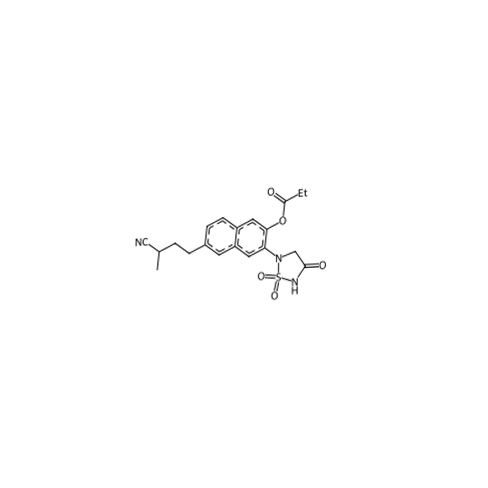 CCC(=O)Oc1cc2ccc(CCC(C)C#N)cc2cc1N1CC(=O)NS1(=O)=O